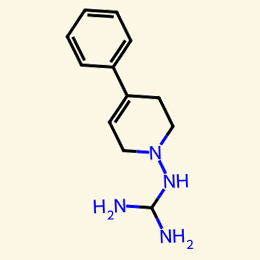 NC(N)NN1CC=C(c2ccccc2)CC1